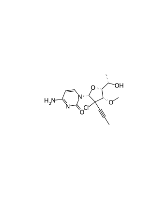 CC#CC1(Cl)[C@@H](OC)[C@@H]([C@H](C)O)O[C@H]1n1ccc(N)nc1=O